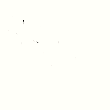 CC(C)[C@H](NC(=O)[C@H](C(C)C)N(C)C)C(=O)N(C)[C@H](C(=O)N1CCC[C@H]1C(=O)N1CCC[C@H]1C(=O)c1ccccc1C(N)=O)C(C)C